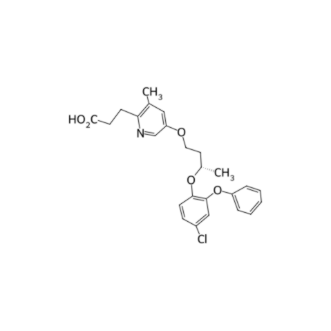 Cc1cc(OCC[C@H](C)Oc2ccc(Cl)cc2Oc2ccccc2)cnc1CCC(=O)O